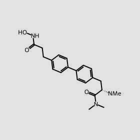 CN[C@@H](Cc1ccc(-c2ccc(CCC(=O)NO)cc2)cc1)C(=O)N(C)C